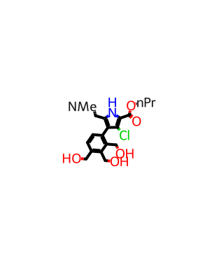 CCCOC(=O)c1[nH]c(CNC)c(-c2ccc(CO)c(CO)c2CO)c1Cl